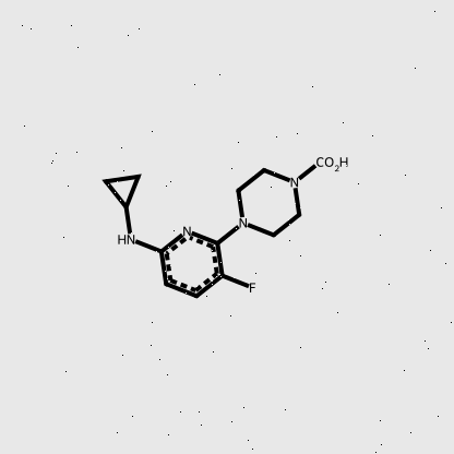 O=C(O)N1CCN(c2nc(NC3CC3)ccc2F)CC1